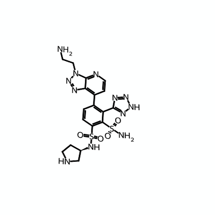 NCCn1nnc2c(-c3ccc(S(=O)(=O)N[C@@H]4CCNC4)c(S(N)(=O)=O)c3-c3nn[nH]n3)ccnc21